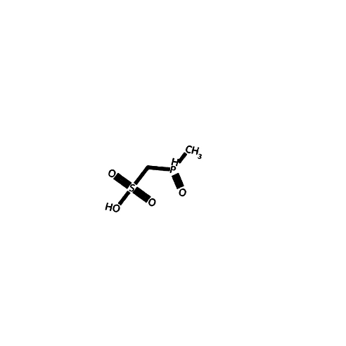 C[PH](=O)CS(=O)(=O)O